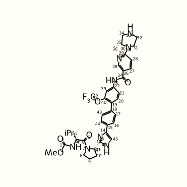 COC(=O)N[C@H](C(=O)N1CCC[C@H]1c1nc(-c2ccc(-c3ccc(NC(=O)c4ccc(N5CCNC[C@H]5C)nc4)cc3OC(F)(F)F)cc2)c[nH]1)C(C)C